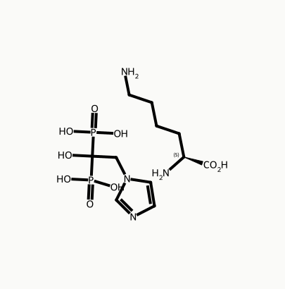 NCCCC[C@H](N)C(=O)O.O=P(O)(O)C(O)(Cn1ccnc1)P(=O)(O)O